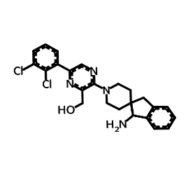 NC1c2ccccc2CC12CCN(c1ncc(-c3cccc(Cl)c3Cl)nc1CO)CC2